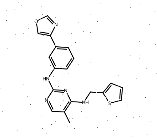 Cc1cnc(Nc2cccc(-c3cocn3)c2)nc1NCc1cccs1